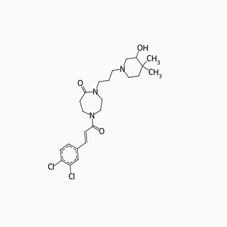 CC1(C)CCN(CCCN2CCN(C(=O)/C=C/c3ccc(Cl)c(Cl)c3)CCC2=O)CC1O